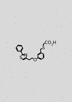 O=C(O)CSCc1cccc(OCCc2csc(-c3ccccc3)n2)c1